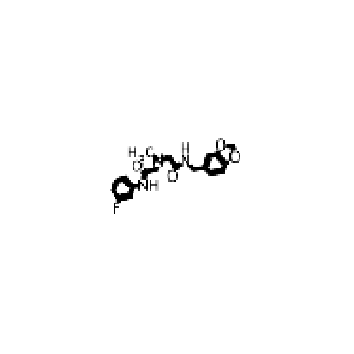 CN(CC(=O)NCc1ccc2c(c1)OCO2)CC(=O)Nc1cccc(F)c1